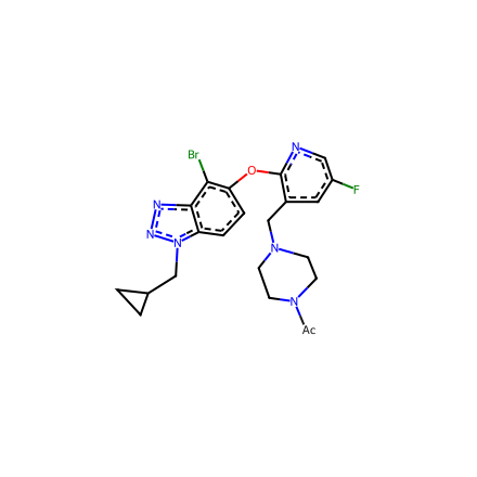 CC(=O)N1CCN(Cc2cc(F)cnc2Oc2ccc3c(nnn3CC3CC3)c2Br)CC1